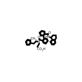 Cc1ccccc1CCN(CCC(=O)O)C(=O)c1ccccc1-c1ccccc1C(=O)NC1CCCc2ccccc21